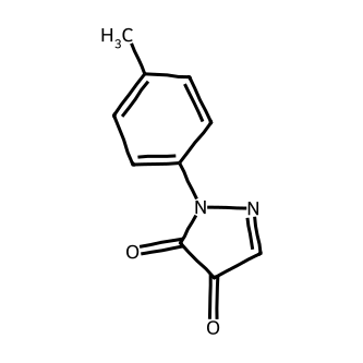 Cc1ccc(N2N=CC(=O)C2=O)cc1